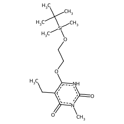 CCc1c(OCCO[Si](C)(C)C(C)(C)C)[nH]c(=O)n(C)c1=O